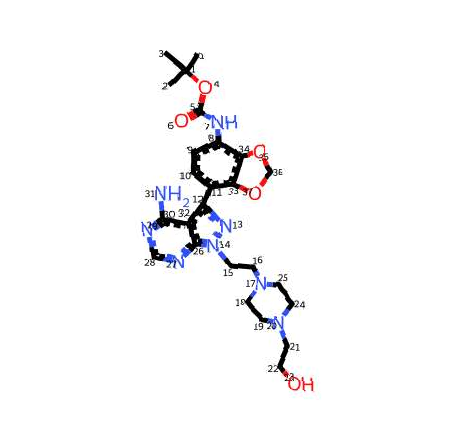 CC(C)(C)OC(=O)Nc1ccc(-c2nn(CCN3CCN(CCO)CC3)c3ncnc(N)c23)c2c1OCO2